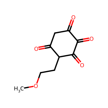 COCCC1C(=O)CC(=O)C(=O)C1=O